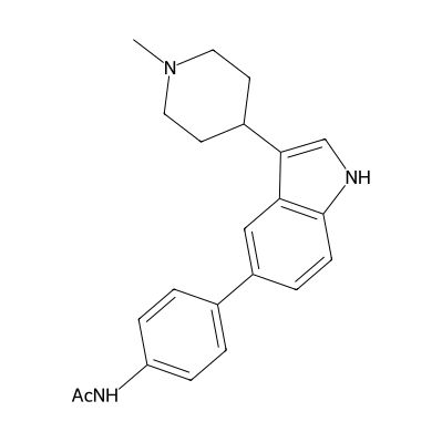 CC(=O)Nc1ccc(-c2ccc3[nH]cc(C4CCN(C)CC4)c3c2)cc1